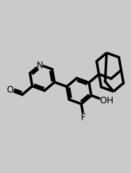 O=Cc1cncc(-c2cc(F)c(O)c(C34CC5CC(CC(C5)C3)C4)c2)c1